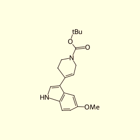 COc1ccc2[nH]cc(C3=CCN(C(=O)OC(C)(C)C)CC3)c2c1